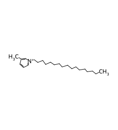 CCCCCCCCCCCCCCCCC[n+]1cccc(C)c1